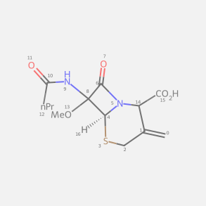 C=C1CS[C@@H]2N(C(=O)C2(NC(=O)CCC)OC)C1C(=O)O